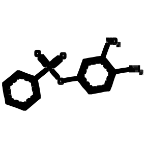 Nc1ccc(OS(=O)(=O)c2ccccc2)cc1[N+](=O)[O-]